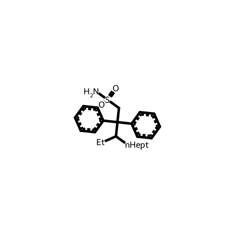 CCCCCCCC(CC)C(CS(N)(=O)=O)(c1ccccc1)c1ccccc1